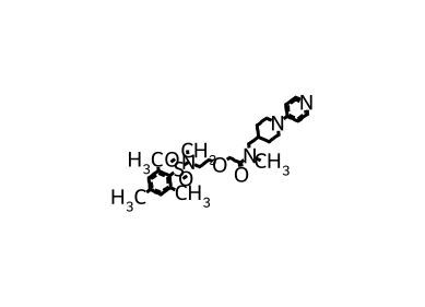 Cc1cc(C)c(S(=O)(=O)N(C)CCOCC(=O)N(C)CC2CCN(c3ccncc3)CC2)c(C)c1